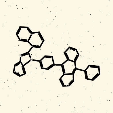 c1ccc(-c2c3ccccc3c(-c3ccc(-n4c(-c5cccc6ccccc56)nc5ccccc54)cc3)c3ccccc23)cc1